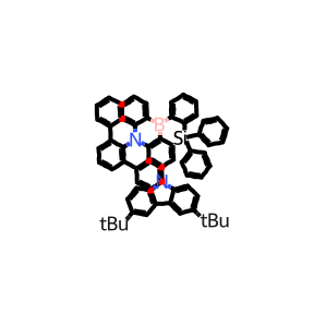 CC(C)(C)c1ccc2c(c1)c1cc(C(C)(C)C)ccc1n2-c1cc2c3c(c1)[Si](c1ccccc1)(c1ccccc1)c1ccccc1B3c1ccccc1N2c1c(-c2ccccc2)cccc1-c1ccccc1